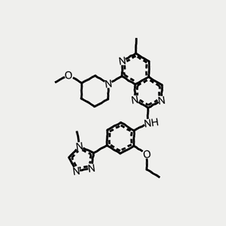 CCOc1cc(-c2nncn2C)ccc1Nc1ncc2cc(C)nc(N3CCCC(OC)C3)c2n1